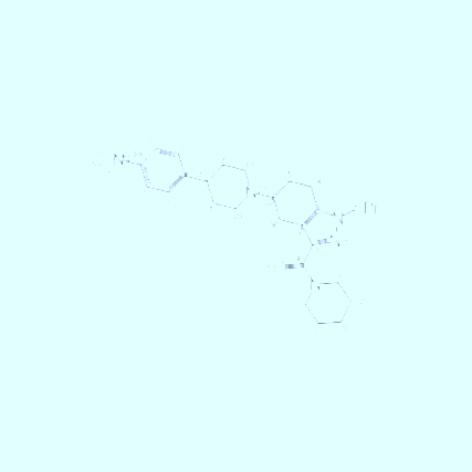 CCCn1nc(C(=O)N2CCCCC2)c2c1CCC(N1CCC(c3ccc([N+](=O)[O-])cc3)CC1)C2